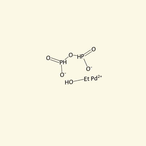 CCO.O=[PH]([O-])O[PH](=O)[O-].[Pd+2]